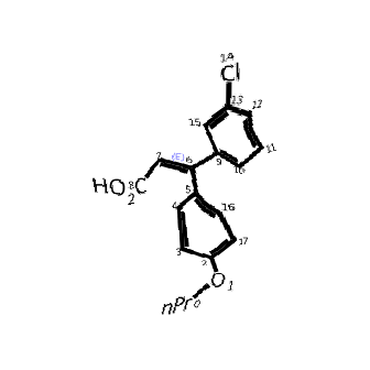 CCCOc1ccc(/C(=C\C(=O)O)c2cccc(Cl)c2)cc1